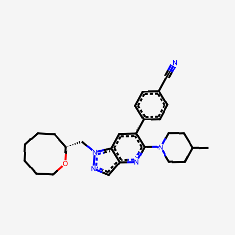 CC1CCN(c2nc3cnn(C[C@H]4CCCCCCO4)c3cc2-c2ccc(C#N)cc2)CC1